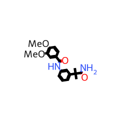 COc1ccc(C(=O)Nc2cccc(C(C)(C)C(N)=O)c2)cc1OC